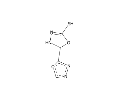 SC1=NNC(c2nnco2)O1